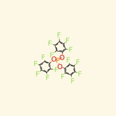 Fc1c(F)c(F)c(OP(Oc2c(F)c(F)c(F)c(F)c2F)Oc2c(F)c(F)c(F)c(F)c2F)c(F)c1F